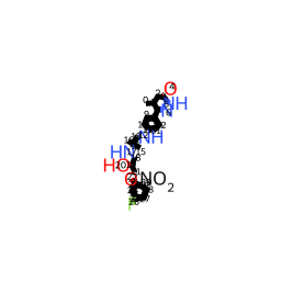 CC1CC(=O)NN=C1c1ccc(NCC(C)(C)NCC(O)COc2cc(F)ccc2[N+](=O)[O-])cc1